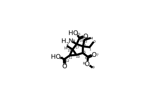 CCC1(CC)C(C(=O)OC)C2C(C(=O)O)C2(C)C1(N)C(=O)O